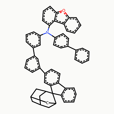 c1ccc(-c2ccc(N(c3cccc(-c4cccc(-c5ccc6c(c5)C5(c7ccccc7-6)C6CC7CC(C6)CC5C7)c4)c3)c3cccc4oc5ccccc5c34)cc2)cc1